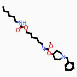 CCCCCCNC(=O)OCCCCCCN=C(OC)OC1CCN(Cc2ccccc2)CC1